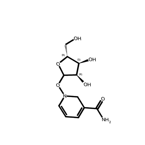 NC(=O)C1=CC=CN(OC2O[C@H](CO)[C@@H](O)[C@H]2O)C1